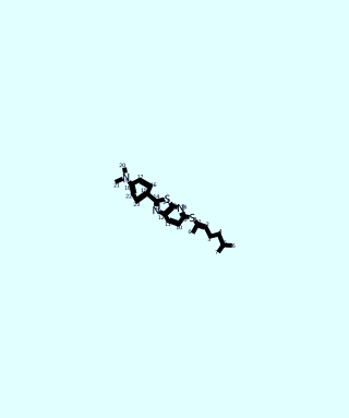 C/C(=C\CCC(C)C)Sc1ccc2nc(-c3ccc(N(C)C)cc3)sc2n1